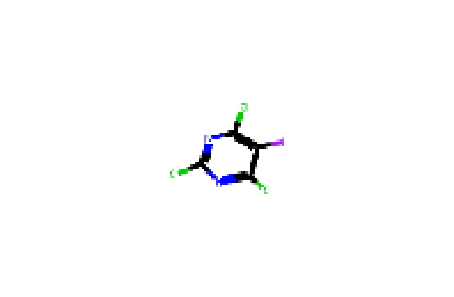 Clc1nc(Cl)c(I)c(Cl)n1